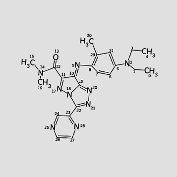 CCN(CC)c1ccc(/N=C2/C(C(=O)N(C)C)=Nn3c2nnc3-c2cnccn2)c(C)c1